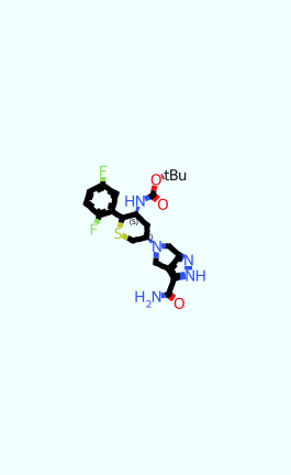 CC(C)(C)OC(=O)N[C@H]1C[C@@H](N2Cc3n[nH]c(C(N)=O)c3C2)CSC1c1cc(F)ccc1F